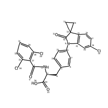 O=C(N[C@@H](Cc1ccc(N2C(=O)C3(CC3)c3ccc(Cl)cc32)cc1)C(=O)O)c1c(Cl)cccc1Cl